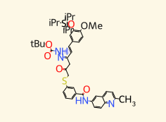 COc1ccc(/C=C/C(CC(=O)CSc2cccc(C(=O)Nc3ccc4nc(C)ccc4c3)c2)=NNC(=O)OC(C)(C)C)cc1O[Si](C(C)C)(C(C)C)C(C)C